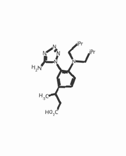 CC(C)CN(CC(C)C)c1ccc(C(C)CC(=O)O)cc1-n1nnnc1N